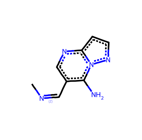 C/N=C\c1cnc2ccnn2c1N